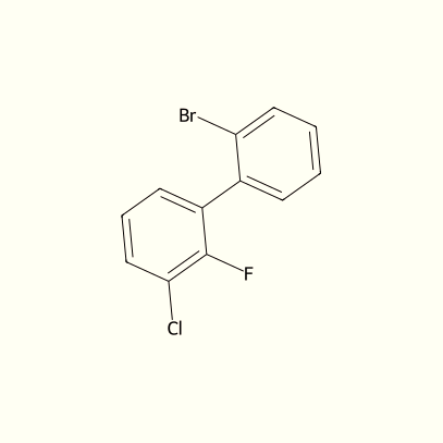 Fc1c(Cl)cccc1-c1ccccc1Br